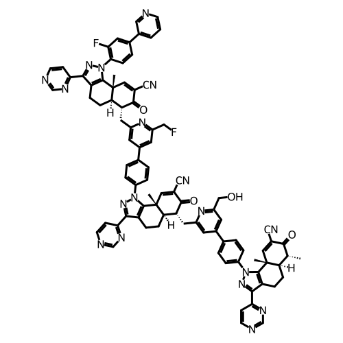 C[C@H]1C(=O)C(C#N)=C[C@@]2(C)c3c(c(-c4ccncn4)nn3-c3ccc(-c4cc(CO)nc(C[C@H]5C(=O)C(C#N)=C[C@@]6(C)c7c(c(-c8ccncn8)nn7-c7ccc(-c8cc(CF)nc(C[C@H]9C(=O)C(C#N)=C[C@@]%10(C)c%11c(c(-c%12ccncn%12)nn%11-c%11ccc(-c%12cccnc%12)cc%11F)CC[C@H]9%10)c8)cc7)CC[C@H]56)c4)cc3)CC[C@H]12